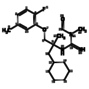 Cc1ccc(F)c(OCC(C)(CC2CCCCC2)NC(=N)N(C)C=O)c1